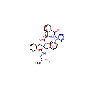 CC(C)CNC(=O)C(Cc1ccccc1)(Cc1ccccc1)N(C(=O)CCCO)C(=O)[C@H](N)C[C@@]1(NC(=O)c2ccccc2C(=O)O)C=NC=N1